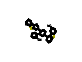 N#Cc1ccc2sc3cccc(-c4ccc(-c5ccc6c(c5)sc5ccccc56)c(-c5ccccc5C#N)c4)c3c2c1